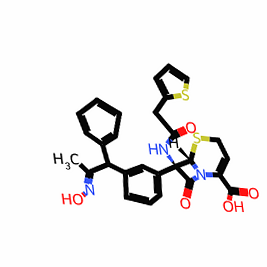 CC(=NO)C(c1ccccc1)c1cccc([C@@]2(NC(=O)Cc3cccs3)C(=O)N3C(C(=O)O)=CCS[C@H]32)c1